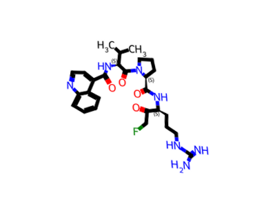 CC(C)[C@H](NC(=O)c1ccnc2ccccc12)C(=O)N1CCC[C@H]1C(=O)N[C@@H](CCCNC(=N)N)C(=O)CF